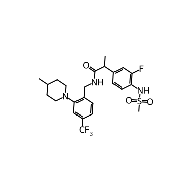 CC1CCN(c2cc(C(F)(F)F)ccc2CNC(=O)C(C)c2ccc(NS(C)(=O)=O)c(F)c2)CC1